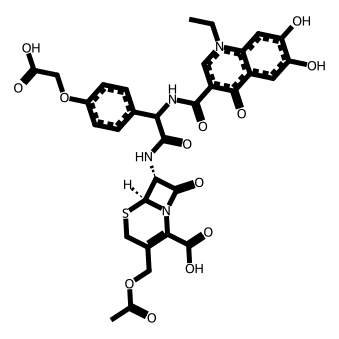 CCn1cc(C(=O)NC(C(=O)N[C@@H]2C(=O)N3C(C(=O)O)=C(COC(C)=O)CS[C@@H]23)c2ccc(OCC(=O)O)cc2)c(=O)c2cc(O)c(O)cc21